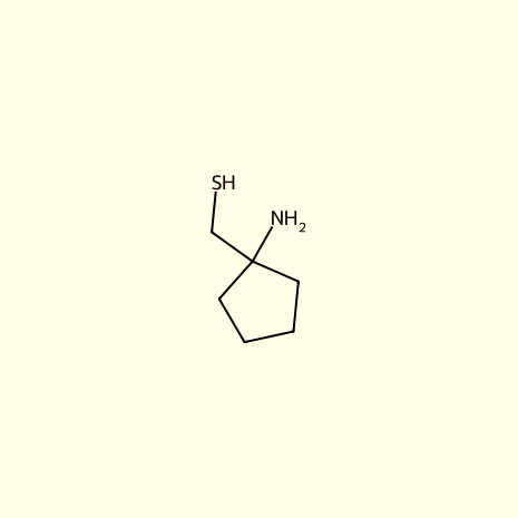 NC1(CS)CCCC1